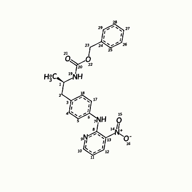 C[C@H](Cc1ccc(Nc2ncccc2[N+](=O)[O-])cc1)NC(=O)OCc1ccccc1